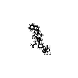 CC(C)=CCn1c(N2CCCC(NC(=O)OC(C)(C)C)C2)nc2c1c(=O)n(Cc1nccc3ccccc13)c(=O)n2C